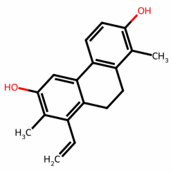 C=Cc1c(C)c(O)cc2c1CCc1c-2ccc(O)c1C